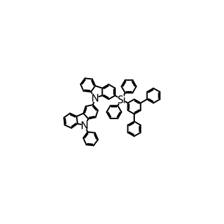 c1ccc(-c2cc(-c3ccccc3)cc([Si](c3ccccc3)(c3ccccc3)c3ccc4c5ccccc5n(-c5ccc6c(c5)c5ccccc5n6-c5ccccc5)c4c3)c2)cc1